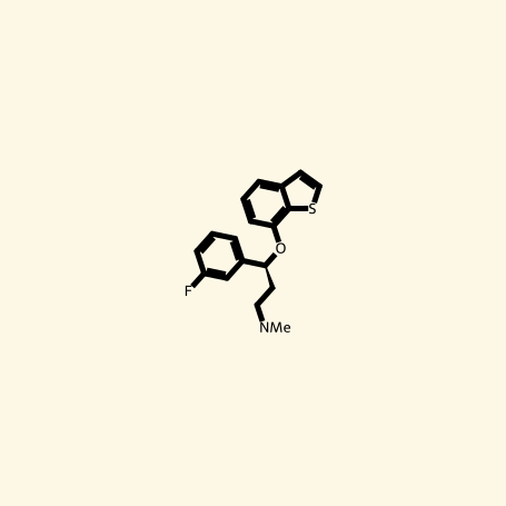 CNCC[C@H](Oc1cccc2ccsc12)c1cccc(F)c1